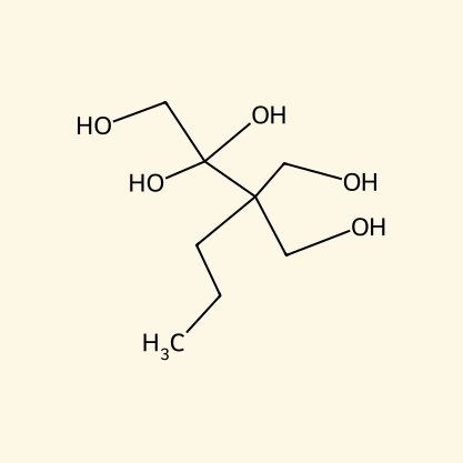 CCCC(CO)(CO)C(O)(O)CO